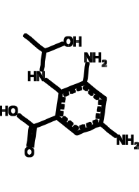 CC(O)Nc1c(N)cc(N)cc1C(=O)O